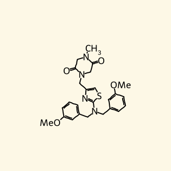 COc1cccc(CN(Cc2cccc(OC)c2)c2nc(CN3CC(=O)N(C)CC3=O)cs2)c1